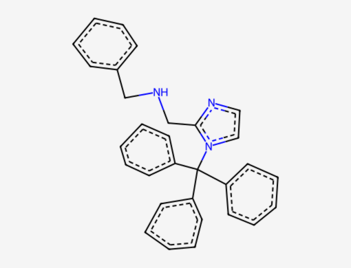 c1ccc(CNCc2nccn2C(c2ccccc2)(c2ccccc2)c2ccccc2)cc1